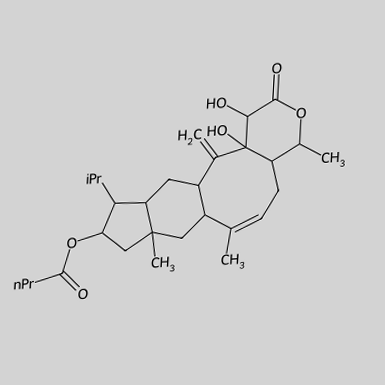 C=C1C2CC3C(C(C)C)C(OC(=O)CCC)CC3(C)CC2C(C)=CCC2C(C)OC(=O)C(O)C12O